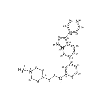 CN1CCN(CCOc2cccc(-c3cnc4c(-c5ccncc5)cnn4c3)c2)CC1